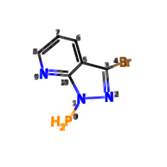 Pn1nc(Br)c2cccnc21